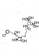 O=C(CCC/C=C\C[C@@H]1[C@@H](/C=C/[C@@H](O)CCc2cccc(Cl)c2)[C@H](O)C[C@@H]1O)NC(CON(O)O)CON(O)O